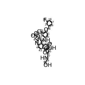 O=S(=O)(O)Cc1nc(Nc2ccc(OCc3cccc(F)c3)c(Cl)c2)c2c(CS(=O)(=O)O)c(-c3ccc(CNCCO)o3)ccc2n1